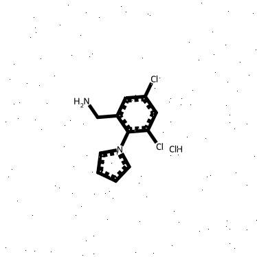 Cl.NCc1cc(Cl)cc(Cl)c1-n1cccc1